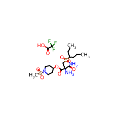 CCCC(CCC)S(=O)(=O)C[C@](N)(C(N)=O)C(=O)OC1CCN(S(C)(=O)=O)CC1.O=C(O)C(F)(F)F